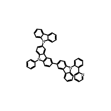 c1ccc(-n2c3ccc(-c4ccc5c(c4)c4ccccc4n5-c4ccccc4-c4ccccn4)cc3c3cc(-n4c5ccccc5c5ccccc54)ccc32)cc1